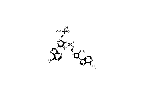 COP(=O)(S)OC[C@H]1O[C@@H](n2cnc3c(N)ncnc32)[C@H](F)[C@@H]1OP(=O)(O)OC[C@H]1C[C@@H](n2cnc3c(N)ncnc32)[C@@H]1C